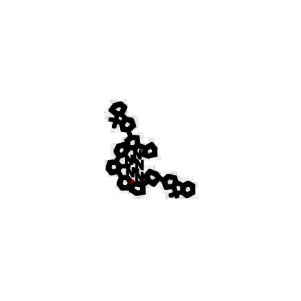 CC1(C)c2ccccc2-c2ccc(-c3ccc4c(c3)c3ccccc3n4-c3nc(-c4c(-c5ccccc5)cccc4-c4ccccc4)nc(-n4c5ccccc5c5cc(-c6ccc7c(c6)C(C)(C)c6ccccc6-7)ccc54)n3)cc21